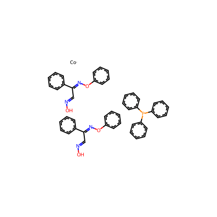 ON=CC(=NOc1ccccc1)c1ccccc1.ON=CC(=NOc1ccccc1)c1ccccc1.[Co].c1ccc(P(c2ccccc2)c2ccccc2)cc1